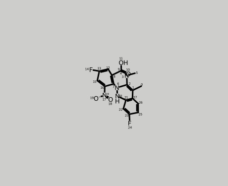 CC1=C(N(C)C)N(c2c(C(=O)O)cc(F)cc2[N+](=O)[O-])Nc2cc(F)ccc21